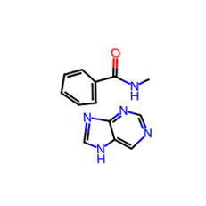 CNC(=O)c1ccccc1.c1ncc2[nH]cnc2n1